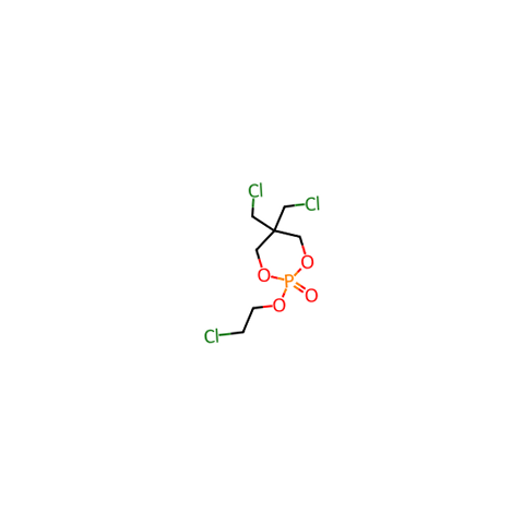 O=P1(OCCCl)OCC(CCl)(CCl)CO1